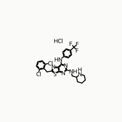 Cl.FC(F)(F)c1ccc(Nc2nc(NCC3CCCCN3)nc3sc(Cc4c(Cl)cccc4Cl)nc23)cc1